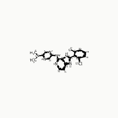 CN(C)c1cnc(Nc2nccc3nc(-c4c(Cl)cccc4Cl)[nH]c23)cn1